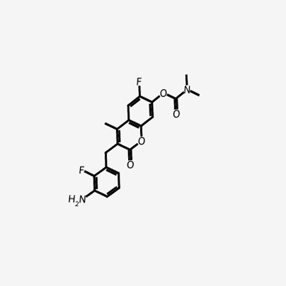 Cc1c(Cc2cccc(N)c2F)c(=O)oc2cc(OC(=O)N(C)C)c(F)cc12